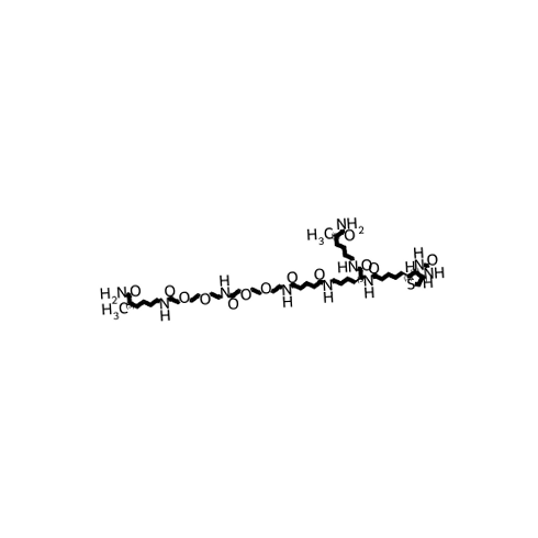 C[C@@H](CCCCNC(=O)COCCOCCNC(=O)COCCOCCNC(=O)CCCC(=O)NCCCC[C@H](NC(=O)CCCC[C@@H]1SC[C@@H]2NC(=O)N[C@@H]21)C(=O)NCCCC[C@H](C)C(N)=O)C(N)=O